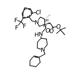 C[C@H]1CN(Cc2c(Cl)cccc2C(F)(F)F)C[C@@]1(CC(=O)OC(C)(C)C)C(=O)NC1CCN(CC2=CCCCC2)CC1